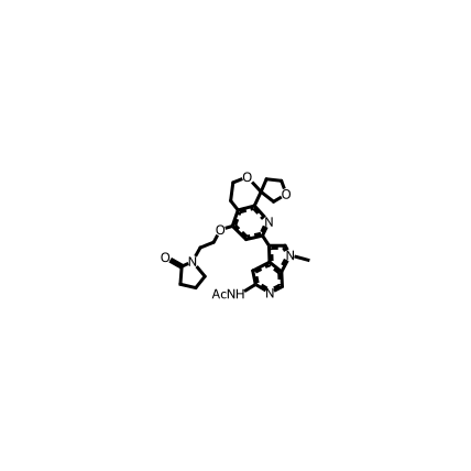 CC(=O)Nc1cc2c(-c3cc(OCCN4CCCC4=O)c4c(n3)C3(CCOC3)OCC4)cn(C)c2cn1